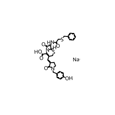 O=C(CSCc1ccccc1)N[C@@H]1C(=O)N2C(C(=O)O)=C(C=C3CCN(Cc4ccc(O)cc4)C3=O)CS[C@H]12.[Na]